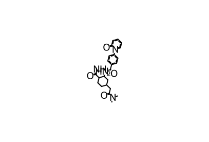 CN(C)C(=O)CC1CCC(C(N)=O)C(NC(=O)c2ccc(-n3ccccc3=O)cc2)C1